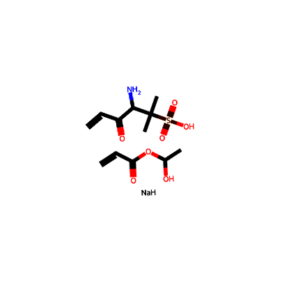 C=CC(=O)C(N)C(C)(C)S(=O)(=O)O.C=CC(=O)OC(C)O.[NaH]